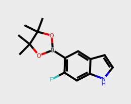 CC1(C)OB(c2cc3cc[nH]c3cc2F)OC1(C)C